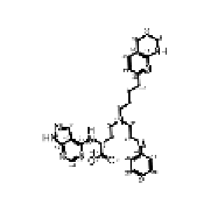 O=C(O)[C@H](CCN(CCCCc1ccc2c(n1)NCCC2)CCOc1ccccc1)Nc1ncnc2[nH]ncc12